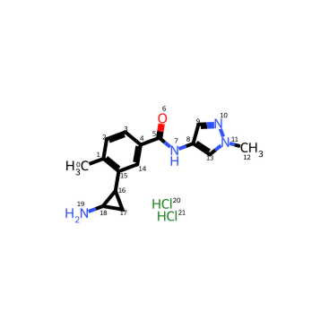 Cc1ccc(C(=O)Nc2cnn(C)c2)cc1C1CC1N.Cl.Cl